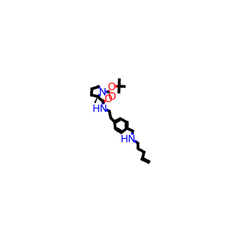 C=CCCCNCc1ccc(CCNC(=O)[C@]2(C)CCCN2C(=O)OC(C)(C)C)cc1